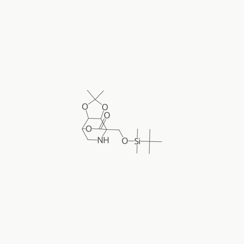 CC1(C)OC2C3CNC(CO[Si](C)(C)C(C)(C)C)(C(=O)O3)C2O1